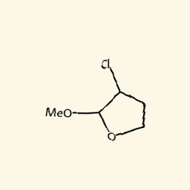 CO[C]1OCCC1Cl